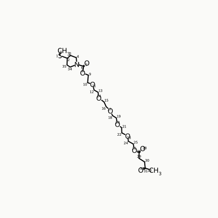 CSC1CCN(C(=O)OCCOCCOCCOCCOCCOCCOC(=O)CCC(C)=O)CC1